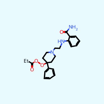 CCC(=O)OOC1(c2ccccc2)CCN(CCNc2ccccc2C(N)=O)CC1